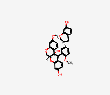 COc1ccc2c(c1)OC[C@H]1Oc3cc(O)ccc3C(c3cc([C@@H]4COc5cc(O)ccc5C4)ccc3OC)[C@@]21O